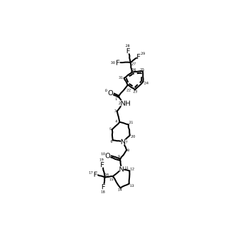 O=C(NCC1CCN(CC(=O)N2CCCC2C(F)(F)F)CC1)c1cccc(C(F)(F)F)c1